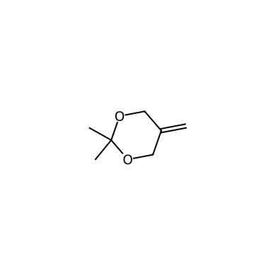 C=C1COC(C)(C)OC1